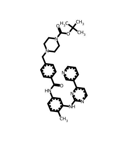 Cc1ccc(NC(=O)c2ccc(CN3CCN(C(=O)OC(C)(C)C)CC3)cc2)cc1Nc1nccc(-c2cccnc2)n1